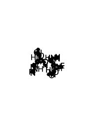 CN(C)CC(=O)N1CCC(NC(=O)c2noc(C(C)(C)C)n2)c2ccc(-c3ccnc(Nc4cnn(C)c4)n3)cc2C1.Cn1cc(Nc2nccc(-c3ccc4c(c3)CN(CC(F)(F)F)CCC4NC(=O)c3noc(C(C)(C)C)n3)n2)cn1